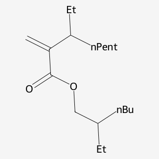 C=C(C(=O)OCC(CC)CCCC)C(CC)CCCCC